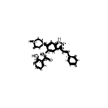 CN1CCN(c2cc3[nH]nc(C=Cc4ccccc4)c3cc2NC(=O)c2cccnc2O)CC1